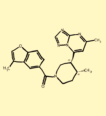 Cc1cc([C@@H]2CN(C(=O)c3ccc4occ(C)c4c3)CC[C@H]2C)n2ncnc2n1